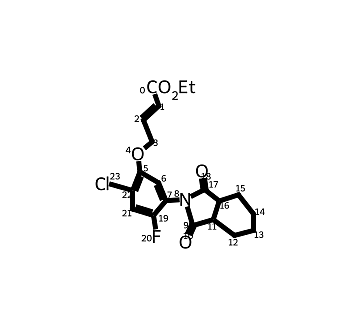 CCOC(=O)/C=C/COc1cc(N2C(=O)C3CCCCC3C2=O)c(F)cc1Cl